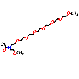 CCC(=O)N(CCOC)CCOCCOCCOCCOCCOCCOCCOC